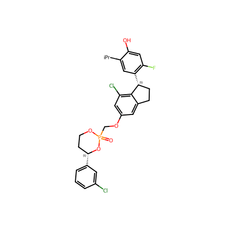 CC(C)c1cc([C@@H]2CCc3cc(OCP4(=O)OCC[C@@H](c5cccc(Cl)c5)O4)cc(Cl)c32)c(F)cc1O